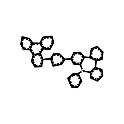 c1ccc(N2c3ccccc3-c3ccccc3-c3ccc(-c4ccc(-c5cccc6c7ccccc7c7ccccc7c56)cc4)cc32)cc1